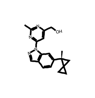 Cc1nc(CO)cc(-n2ncc3ccc([C@]4(C)CC45CC5)cc32)n1